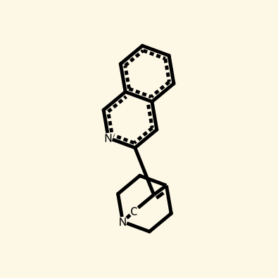 c1ccc2cc(C3=C4CCN(CC4)C3)ncc2c1